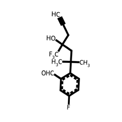 C#CCC(O)(CC(C)(C)c1ccc(F)cc1C=O)C(F)(F)F